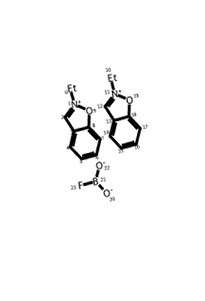 CC[n+]1cc2ccccc2o1.CC[n+]1cc2ccccc2o1.[O-]B([O-])F